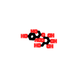 OCC(OC1OC(CO)C(O)C(O)C1O)C(O)c1ccc(O)cc1